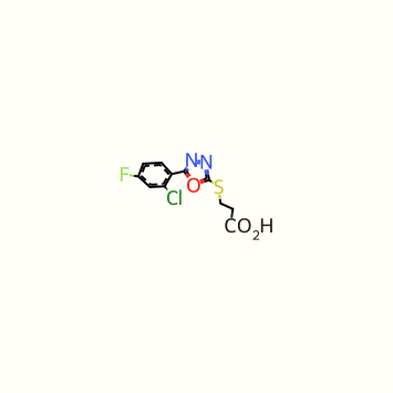 O=C(O)CCSc1nnc(-c2ccc(F)cc2Cl)o1